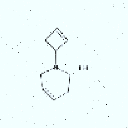 [CH]1C=CC1N1CC=CCC1.[LiH]